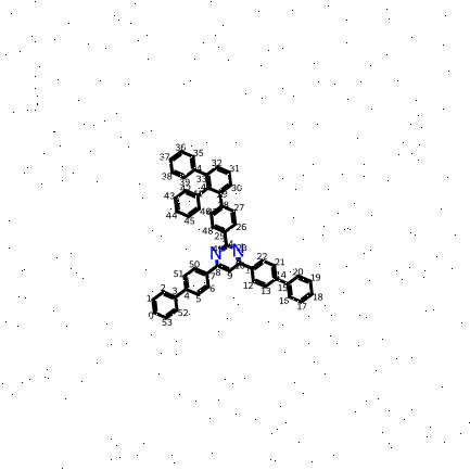 c1ccc(-c2ccc(-c3cc(-c4ccc(-c5ccccc5)cc4)nc(-c4ccc(-c5cccc(-c6ccccc6)c5-c5ccccc5)cc4)n3)cc2)cc1